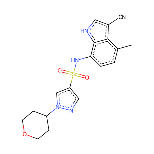 Cc1ccc(NS(=O)(=O)c2cnn(C3CCOCC3)c2)c2[nH]cc(C#N)c12